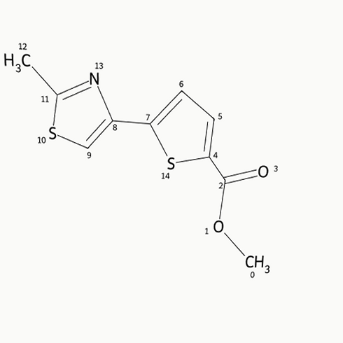 COC(=O)c1ccc(-c2csc(C)n2)s1